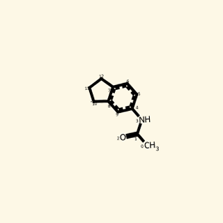 CC(=O)Nc1ccc2c(c1)[CH]CC2